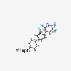 CCCCCCCC1CCC(c2ccc(-c3cc(F)c(F)nc3F)c(F)c2)CC1